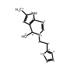 Cc1cc2c([nH]1)N=CN(CCc1cccs1)C2O